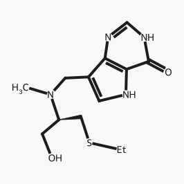 CCSC[C@@H](CO)N(C)Cc1c[nH]c2c(=O)[nH]cnc12